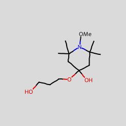 CON1C(C)(C)CC(O)(OCCCO)CC1(C)C